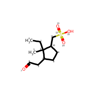 CCC1(C)C(CC=O)CCC1CS(=O)(=O)O